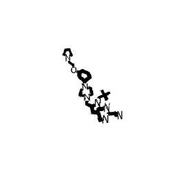 CC(C)(C)Cn1c(CN2CCN(c3cccc(OCCN4CCCC4)c3)CC2)cc2cnc(C#N)nc21